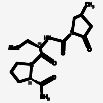 CSC[C@@H](NC(=O)N1CC(C)CC1=O)C(=O)N1CCC[C@H]1C(N)=O